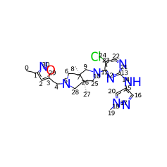 Cc1cc(CN2C[C@@]3(C)CN(c4nc(Nc5cnn(C)c5)ncc4Cl)C[C@@]3(C)C2)on1